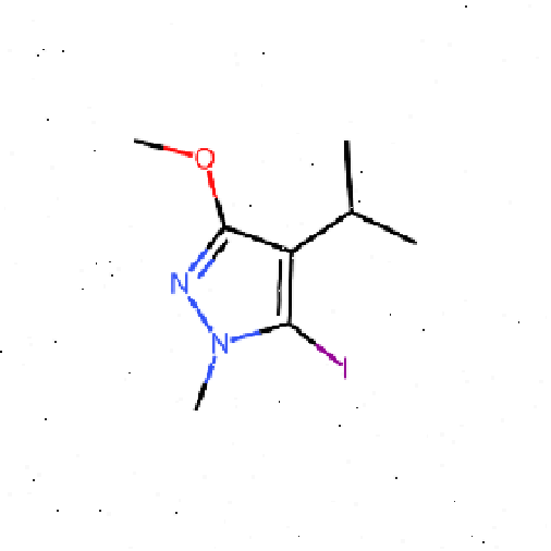 COc1nn(C)c(I)c1C(C)C